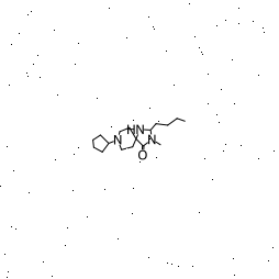 CCCCC1NC2(CCN(C3CCCC3)CC2)C(=O)N1C